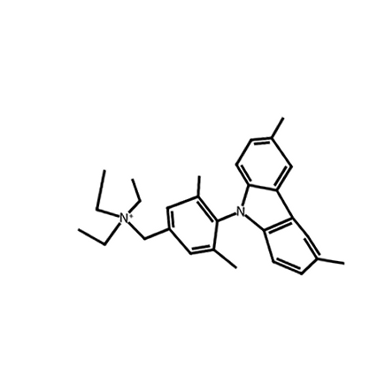 CC[N+](CC)(CC)Cc1cc(C)c(-n2c3ccc(C)cc3c3cc(C)ccc32)c(C)c1